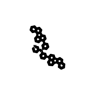 c1cncc(N(c2cccc(-c3ccc4c5c(cccc35)-c3c-4ccc4ccccc34)c2)c2cccc(-c3ccc4c5c(cccc35)-c3c-4ccc4ccccc34)c2)c1